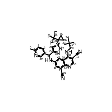 Cc1ccc([C@H](Nc2cc(C#N)c3ncc(C#N)c(NCC(C)(C)C)c3c2)c2cn(C3(C(F)(F)F)CC3)nn2)cn1